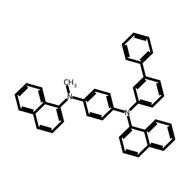 CN(c1ccc(N(c2cccc(-c3ccccc3)c2)c2cccc3ccccc23)cc1)c1cccc2ccccc12